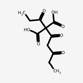 CCC(=O)CC(=O)C(C(=O)O)(C(=O)O)C(=O)CC